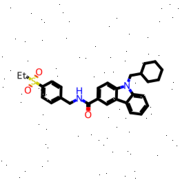 CCS(=O)(=O)c1ccc(CNC(=O)c2ccc3c(c2)c2ccccc2n3CC2CCCCC2)cc1